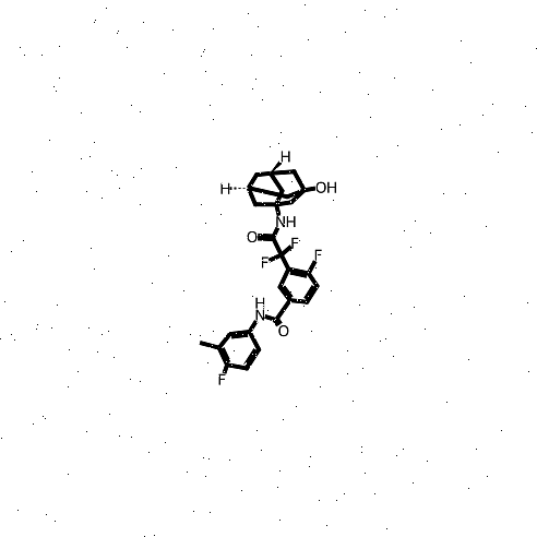 Cc1cc(NC(=O)c2ccc(F)c(C(F)(F)C(=O)NC34C[C@@H]5C[C@@H](CC(O)(C5)C3)C4)c2)ccc1F